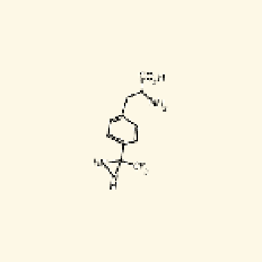 N[C@H](Cc1ccc(C2(C(F)(F)F)NN2)cc1)C(=O)O